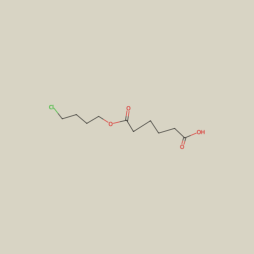 O=C(O)CCCCC(=O)OCCCCCl